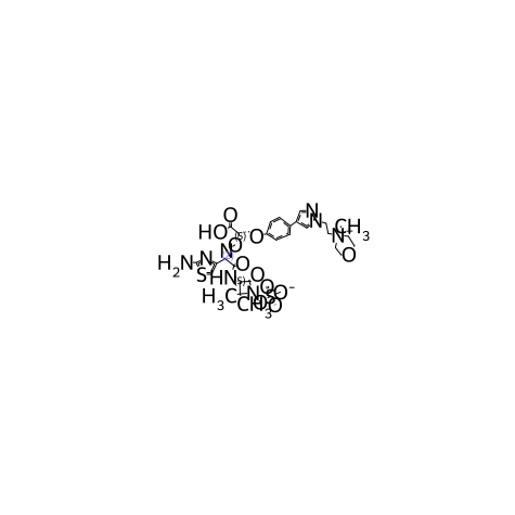 CC1(C)[C@H](NC(=O)/C(=N\O[C@@H](COc2ccc(-c3cnn(CC[N+]4(C)CCOCC4)c3)cc2)C(=O)O)c2csc(N)n2)C(=O)N1OS(=O)(=O)[O-]